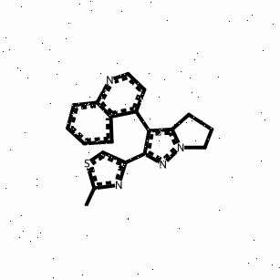 Cc1nc(-c2nn3c(c2-c2ccnc4ccccc24)CCC3)cs1